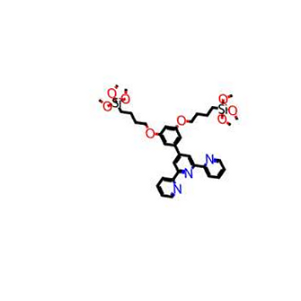 CO[Si](CCCCOc1cc(OCCCC[Si](OC)(OC)OC)cc(-c2cc(-c3ccccn3)nc(-c3ccccn3)c2)c1)(OC)OC